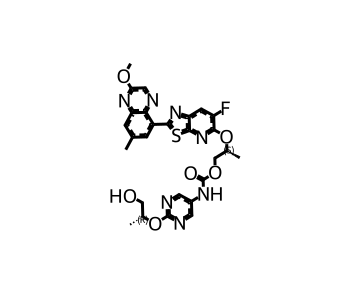 COc1cnc2c(-c3nc4cc(F)c(O[C@@H](C)COC(=O)Nc5cnc(O[C@H](C)CO)nc5)nc4s3)cc(C)cc2n1